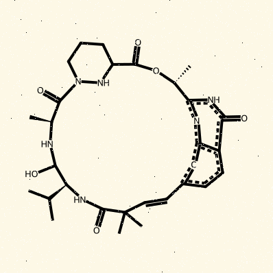 CC(C)[C@@H]1NC(=O)C(C)(C)/C=C/c2ccc3c(=O)[nH]c(nc3c2)[C@@H](C)OC(=O)C2CCCN(N2)C(=O)[C@H](C)NC1O